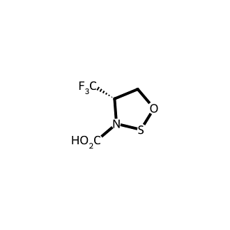 O=C(O)N1SOC[C@H]1C(F)(F)F